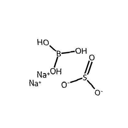 O=S([O-])[O-].OB(O)O.[Na+].[Na+]